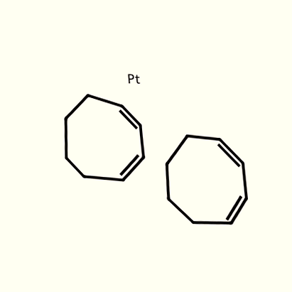 C1=CCCCCC=C1.C1=CCCCCC=C1.[Pt]